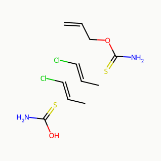 C=CCOC(N)=S.CC=CCl.CC=CCl.NC(O)=S